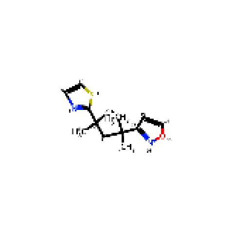 CC(C)(CC(C)(C)c1nccs1)c1ccon1